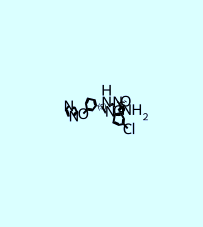 NS(=O)(=O)N=C1N[C@@H](c2cccc(Oc3cnccn3)c2)CN1c1ccc(Cl)cc1